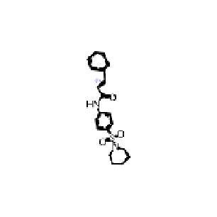 O=C(/C=C/c1ccccc1)Nc1ccc(S(=O)(=O)N2CCCCC2)cc1